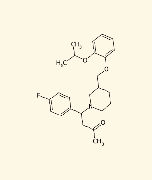 CC(=O)CC(c1ccc(F)cc1)N1CCCC(COc2ccccc2OC(C)C)C1